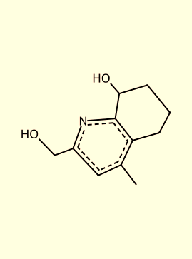 Cc1cc(CO)nc2c1CCCC2O